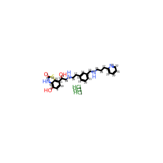 Cl.Cl.Cl.O=c1[nH]c2c(O)ccc(C(O)CNCCc3cccc(CNCCCc4ccccn4)c3)c2s1